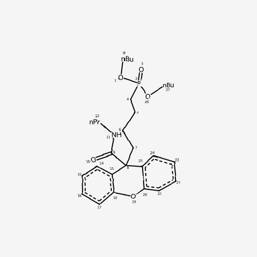 CCCCOP(=O)(CCCCC1(C(=O)NCCC)c2ccccc2Oc2ccccc21)OCCCC